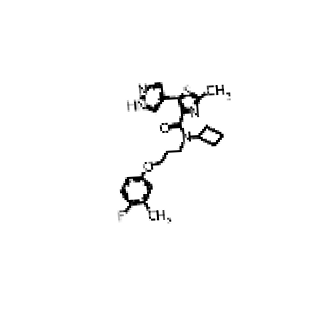 Cc1nc(C(=O)N(CCCOc2ccc(F)c(C)c2)C2CCC2)c(-c2cn[nH]c2)s1